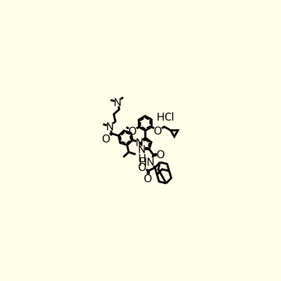 COc1cccc(OCC2CC2)c1-c1cc(C(=O)NC2(C(=O)O)C3CC4CC(C3)CC2C4)nn1-c1ccc(C(=O)N(C)CCCN(C)C)cc1C(C)C.Cl